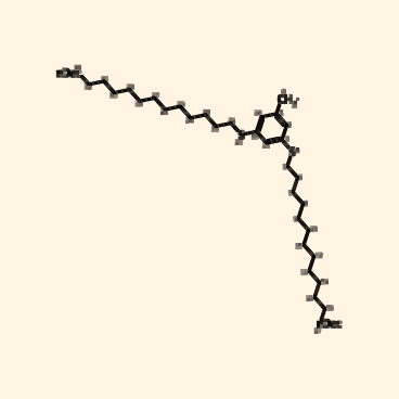 [CH2]c1cc(SCCCCCCCCCCCCCCCCCCCCCC)cc(SCCCCCCCCCCCCCCCCCCCCCC)c1